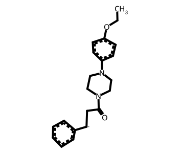 CCOc1ccc(N2CCN(C(=O)C[CH]c3ccccc3)CC2)cc1